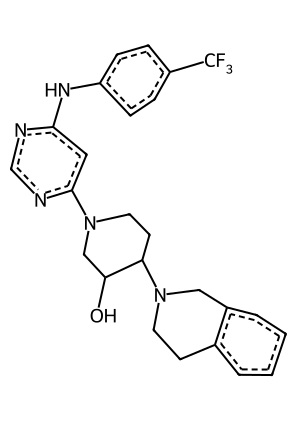 OC1CN(c2cc(Nc3ccc(C(F)(F)F)cc3)ncn2)CCC1N1CCc2ccccc2C1